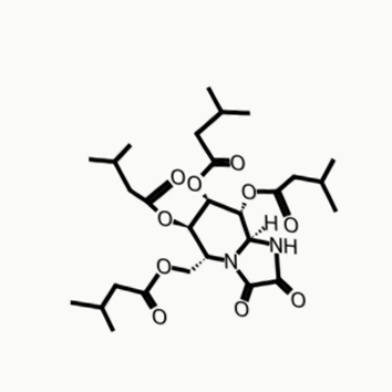 CC(C)CC(=O)OC[C@@H]1[C@@H](OC(=O)CC(C)C)[C@H](OC(=O)CC(C)C)[C@H](OC(=O)CC(C)C)[C@H]2NC(=O)C(=O)N12